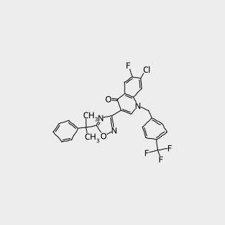 CC(C)(c1ccccc1)c1nc(-c2cn(Cc3ccc(C(F)(F)F)cc3)c3cc(Cl)c(F)cc3c2=O)no1